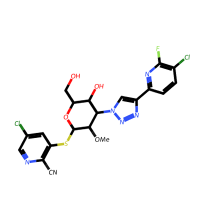 COC1C(Sc2cc(Cl)cnc2C#N)OC(CO)C(O)C1n1cc(-c2ccc(Cl)c(F)n2)nn1